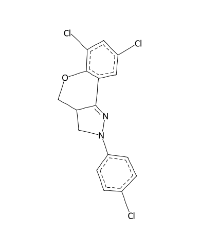 Clc1ccc(N2CC3COc4c(Cl)cc(Cl)cc4C3=N2)cc1